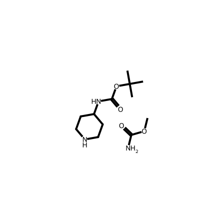 CC(C)(C)OC(=O)NC1CCNCC1.COC(N)=O